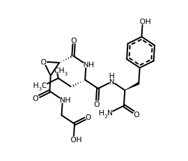 CC(C)C[C@H](NC(=O)[C@H]1OC1C(=O)NCC(=O)O)C(=O)N[C@@H](Cc1ccc(O)cc1)C(N)=O